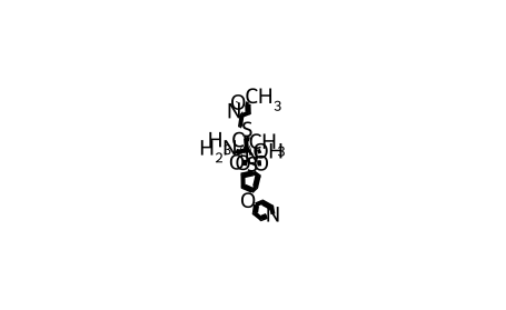 Cc1cc(CSC(C)(C)[C@H](C(N)=O)N(O)S(=O)(=O)c2ccc(Oc3ccncc3)cc2)no1